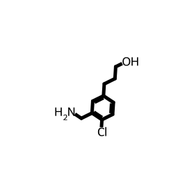 NCc1cc(CCCO)ccc1Cl